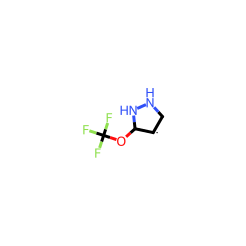 FC(F)(F)OC1[CH]CNN1